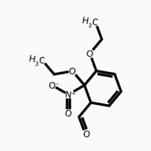 CCOC1=CC=CC(C=O)C1(OCC)[N+](=O)[O-]